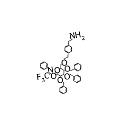 NCCc1ccc(CCOCC2OC(OC(=Nc3ccccc3)C(F)(F)F)C(OCc3ccccc3)C(OCc3ccccc3)C2OCc2ccccc2)cc1